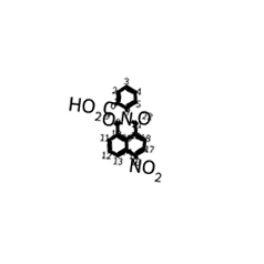 O=C(O)c1ccccc1N1C(=O)c2cccc3c([N+](=O)[O-])ccc(c23)C1=O